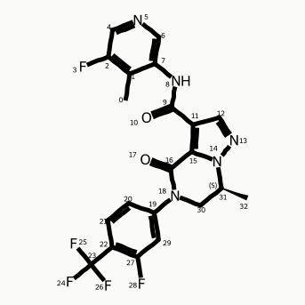 Cc1c(F)cncc1NC(=O)c1cnn2c1C(=O)N(c1ccc(C(F)(F)F)c(F)c1)C[C@@H]2C